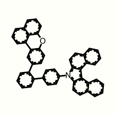 c1ccc(-c2ccc3c(c2)-c2cccc4cccc(c24)O3)c(-c2ccc(-n3c4ccc5ccccc5c4c4c5ccccc5ccc43)cc2)c1